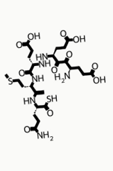 C=C(N[C@@H](CCC(N)=O)C(=O)S)[C@H](CCSC)NC(=O)[C@H](CCC(=O)O)NN[C@@H](CCC(=O)O)C(=O)C(=O)[C@@H](N)CCC(=O)O